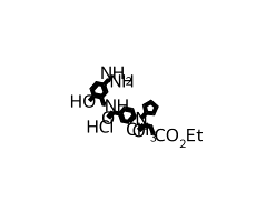 CCOC(=O)CCC(=O)N(c1ccc(C(=O)NCc2cc(C(=N)N)ccc2O)cc1C)C1CCCC1.Cl